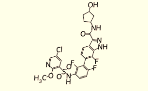 COc1ncc(Cl)cc1S(=O)(=O)Nc1ccc(F)c(-c2ccc3c(C(=O)NC4CCC(O)C4)n[nH]c3c2F)c1F